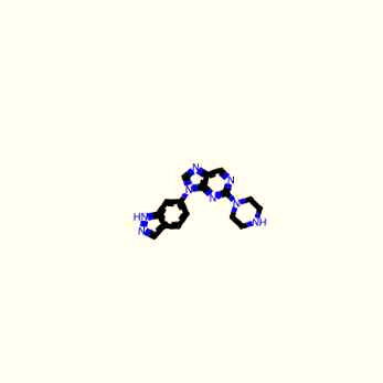 c1cc2cn[nH]c2cc1-n1cnc2cnc(N3CCNCC3)nc21